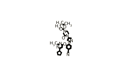 Cc1nc(Oc2cc(C#N)ccc2-n2cc(N3CCN(C(=O)OC(C)(C)C)CC3=O)cn2)cc(C2CCCC2)n1